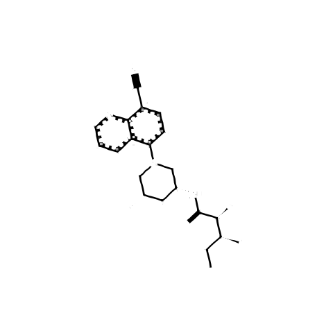 CC[C@H](C)[C@H](N)C(=O)N[C@@H]1C[C@H](C)CN(c2ccc(C#N)c3ncccc23)C1